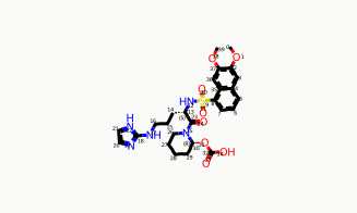 COc1cc2cccc(S(=O)(=O)N[C@@H](CCCNc3ncc[nH]3)C(=O)N3CCCC[C@H]3OC(=O)O)c2cc1OC